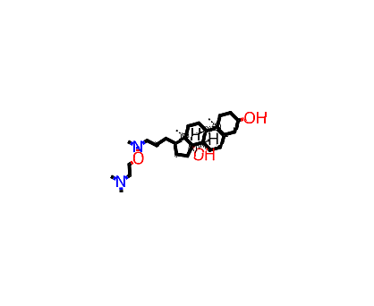 CN(C)CCON(C)CCCC1CC[C@@]2(O)[C@@H]3CCC4CC(O)CC[C@]4(C)[C@@H]3CC[C@]12C